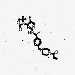 C=CC(=O)N1CCN(Cc2ccc([C@H](C)Nc3ncc(F)c(N4C(=O)OCC4(C)C)n3)cc2)CC1